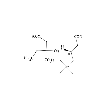 C[N+](C)(C)C[C@@H](O)CC(=O)[O-].O=C(O)CC(O)(CC(=O)O)C(=O)O